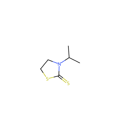 CC(C)N1CCSC1=S